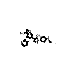 Cc1c(-c2cc(Sc3ncccc3F)c3c(C#N)cnn3c2)cnn1[C@H]1CC[C@@H](NCC(F)(F)F)CC1